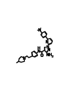 CC1CCN(CCc2ccc(NC(=O)c3cn(-c4cccc(-c5ccc(N(C)C)cc5)n4)nc3N)cc2)CC1